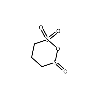 O=S1CCCS(=O)(=O)O1